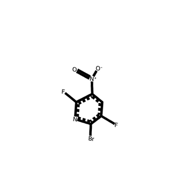 O=[N+]([O-])c1cc(F)c(Br)nc1F